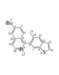 CCC(C)c1ccc2c(-c3cc4sccc4cc3C)[n+](C)ccc2c1